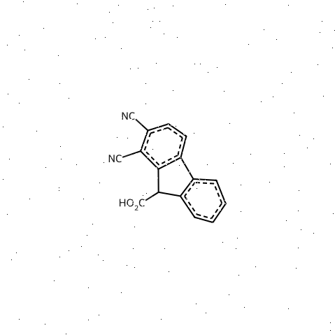 N#Cc1ccc2c(c1C#N)C(C(=O)O)c1ccccc1-2